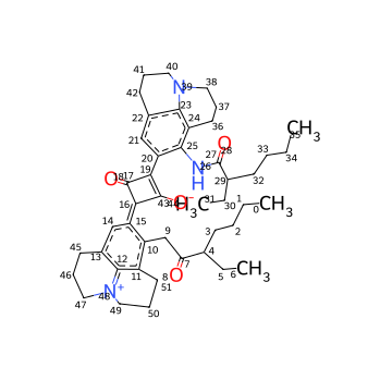 CCCCC(CC)C(=O)Cc1c2c3c(c/c1=C1\C(=O)C(c4cc5c6c(c4NC(=O)C(CC)CCCC)CCCN6CCC5)=C1[O-])CCC[N+]=3CCC2